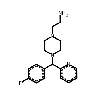 NCCN1CCN(C(c2ccc(F)cc2)c2ccccn2)CC1